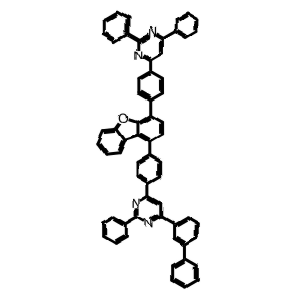 c1ccc(-c2cccc(-c3cc(-c4ccc(-c5ccc(-c6ccc(-c7cc(-c8ccccc8)nc(-c8ccccc8)n7)cc6)c6oc7ccccc7c56)cc4)nc(-c4ccccc4)n3)c2)cc1